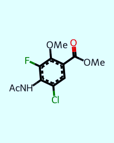 COC(=O)c1cc(Cl)c(NC(C)=O)c(F)c1OC